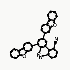 N#Cc1cccc(C#N)c1-c1cc(-c2ccc3c(c2)oc2ccccc23)cc(-c2ccc3c(c2)oc2ccccc23)c1C#N